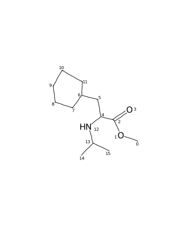 COC(=O)C(CC1CCCCC1)NC(C)C